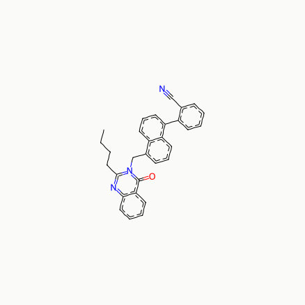 CCCCc1nc2ccccc2c(=O)n1Cc1cccc2c(-c3ccccc3C#N)cccc12